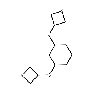 C1CC(SC2CSC2)CC(SC2CSC2)C1